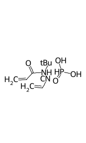 C=CC#N.C=CC(=O)NC(C)(C)C.O=[PH](O)O